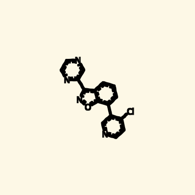 Clc1ccncc1-c1cccc2c(-c3cnccn3)noc12